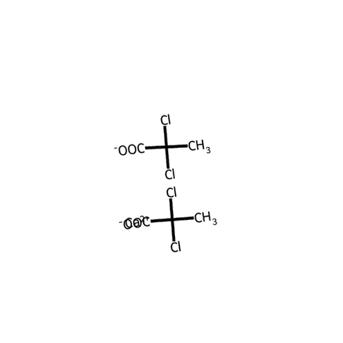 CC(Cl)(Cl)C(=O)[O-].CC(Cl)(Cl)C(=O)[O-].[Ca+2]